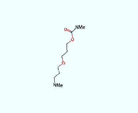 CNCCCOCCCOC(=O)NC